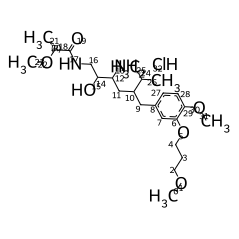 COCCCOc1cc(CC(CC(N)C(O)CNC(=O)[C@@H](C)OC)C(C)C)ccc1OC.Cl